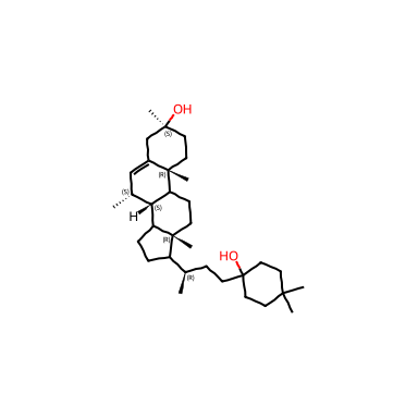 C[C@H](CCC1(O)CCC(C)(C)CC1)C1CCC2[C@H]3C(CC[C@@]21C)[C@@]1(C)CC[C@](C)(O)CC1=C[C@H]3C